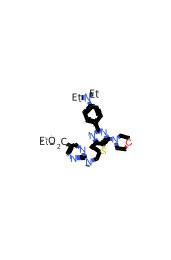 CCOC(=O)c1cnc(N(C)Cc2cc3nc(-c4ccc(N(CC)CC)cc4)nc(N4CCOCC4)c3s2)nc1